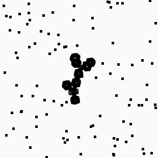 c1ccc(-c2nc3c4ccc(-c5ccc(N(c6ccc7ccccc7c6)c6ccc7ccccc7c6)cc5)cc4c4ccccc4c3o2)cc1